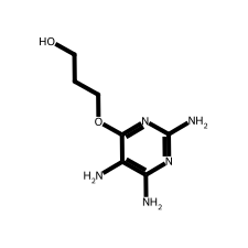 Nc1nc(N)c(N)c(OCCCO)n1